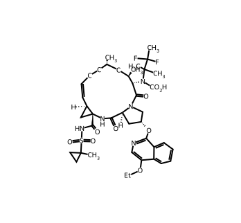 CCOc1cnc(O[C@@H]2C[C@H]3C(=O)N[C@]4(C(=O)NS(=O)(=O)C5(C)CC5)C[C@H]4C=CCC[C@H](C)C[C@@H](C)[C@H](N(C(=O)O)C(C)(C)C(C)(F)F)C(=O)N3C2)c2ccccc12